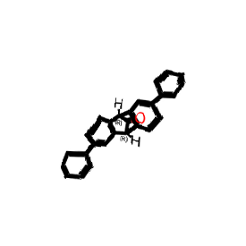 O=C1[C@@H]2c3ccc(-c4ccccc4)cc3[C@H]1c1ccc(-c3ccccc3)cc12